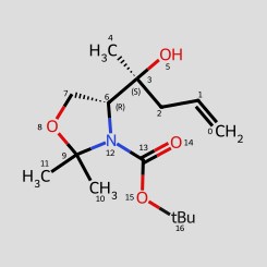 C=CC[C@](C)(O)[C@H]1COC(C)(C)N1C(=O)OC(C)(C)C